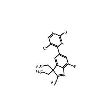 CCC1(CC)C(C)=Nc2c(F)cc(-c3nc(Cl)ncc3Cl)cc21